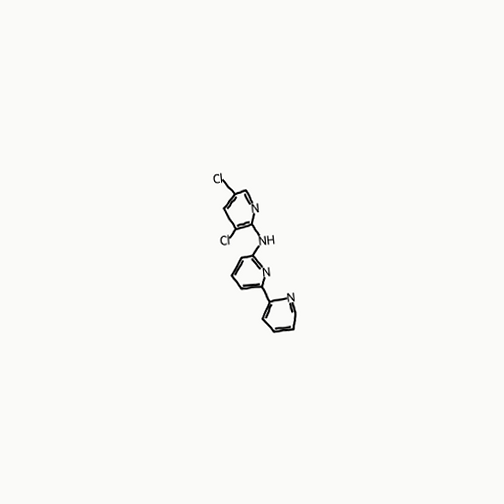 Clc1cnc(Nc2cccc(-c3ccccn3)n2)c(Cl)c1